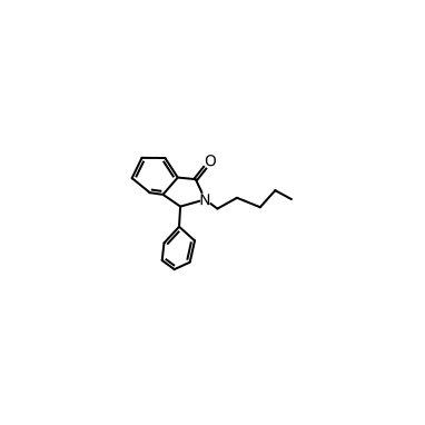 CCCCCN1C(=O)c2ccccc2C1c1ccccc1